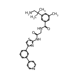 Cc1cc(C(=O)NCC(=O)Nc2nc(-c3cccc(-c4ccncc4)c3)cs2)cc(C(C)(C)CN)c1